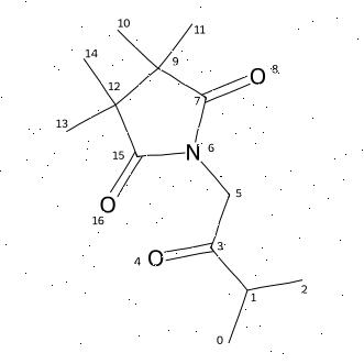 CC(C)C(=O)CN1C(=O)C(C)(C)C(C)(C)C1=O